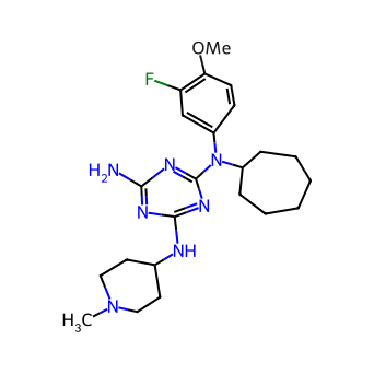 COc1ccc(N(c2nc(N)nc(NC3CCN(C)CC3)n2)C2CCCCCC2)cc1F